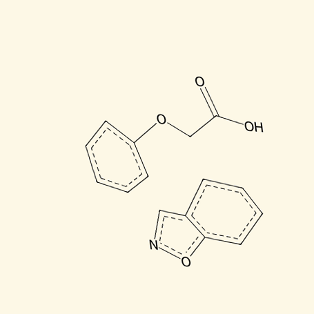 O=C(O)COc1ccccc1.c1ccc2oncc2c1